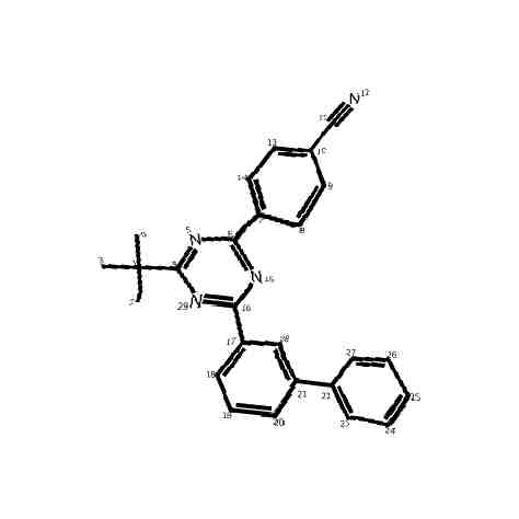 CC(C)(C)c1nc(-c2ccc(C#N)cc2)nc(-c2cccc(-c3ccccc3)c2)n1